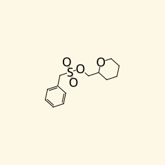 O=S(=O)(Cc1ccccc1)OCC1CCCCO1